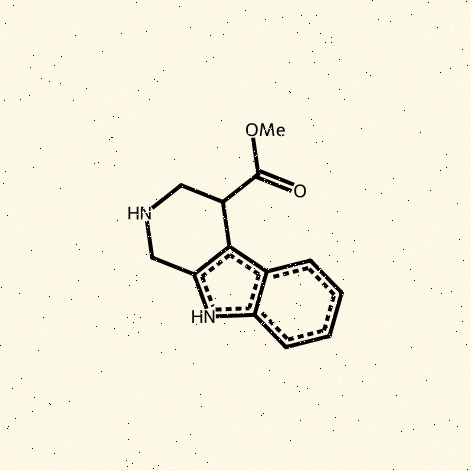 COC(=O)C1CNCc2[nH]c3ccccc3c21